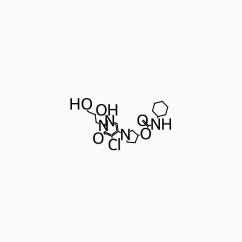 O=C(NC1CCCCC1)O[C@@H]1CCN(c2cnn(CC(O)CO)c(=O)c2Cl)C1